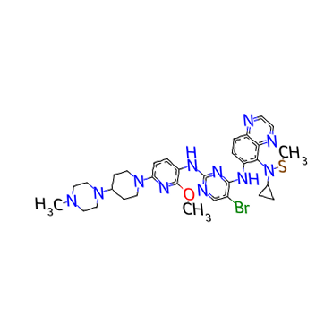 COc1nc(N2CCC(N3CCN(C)CC3)CC2)ccc1Nc1ncc(Br)c(Nc2ccc3nccnc3c2N(SC)C2CC2)n1